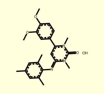 COc1ccc(-c2cc(=Nc3c(C)cc(C)cc3C)n(C)c(=O)n2C)cc1OC.Cl